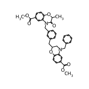 COC(=O)c1ccc2c(c1)N(Cc1ccccc1)CC(Cc1cccc(CN3C(=O)C(C)Oc4ccc(C(=O)OC)cc43)c1)O2